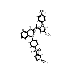 Cc1ccc(-n2nc(C(C)(C)C)cc2NC(=O)Nc2ccccc2CC2CCN(S(=O)(=O)c3cn(C)cn3)CC2)cc1